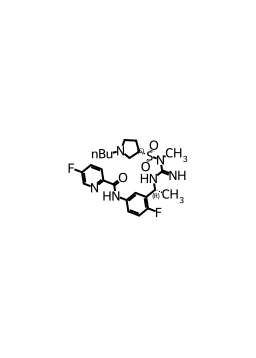 CCCCN1CC[C@H](S(=O)(=O)N(C)C(=N)N[C@H](C)c2cc(NC(=O)c3ccc(F)cn3)ccc2F)C1